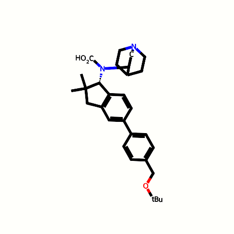 CC(C)(C)OCc1ccc(-c2ccc3c(c2)CC(C)(C)[C@@H]3N(C(=O)O)C2CN3CCC2CC3)cc1